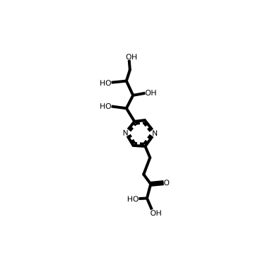 O=C(CCc1cnc(C(O)C(O)C(O)CO)cn1)C(O)O